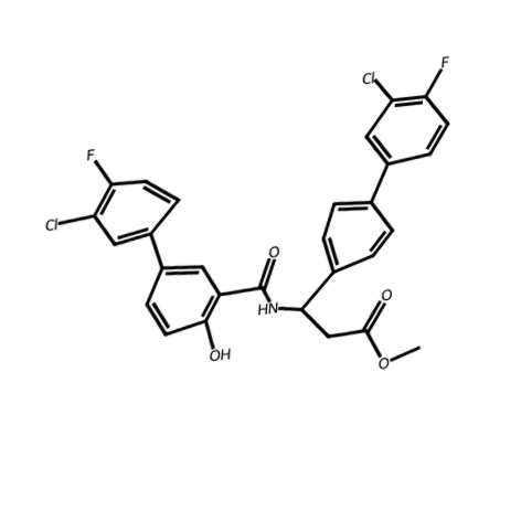 COC(=O)CC(NC(=O)c1cc(-c2ccc(F)c(Cl)c2)ccc1O)c1ccc(-c2ccc(F)c(Cl)c2)cc1